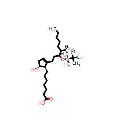 CCCCCC(C)C(CCC1=CC[C@H](O)[C@@H]1CCCCCCC(=O)O)O[Si](C)(C)C(C)(C)C